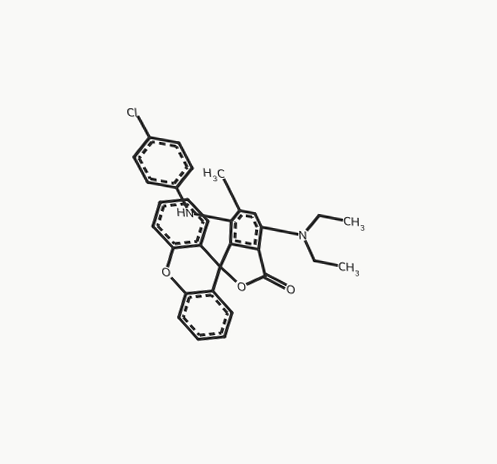 CCN(CC)c1cc(C)c(Nc2ccc(Cl)cc2)c2c1C(=O)OC21c2ccccc2Oc2ccccc21